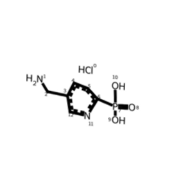 Cl.NCc1ccc(P(=O)(O)O)nc1